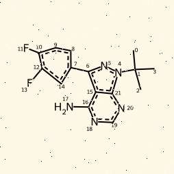 CC(C)(C)n1nc(-c2ccc(F)c(F)c2)c2c(N)ncnc21